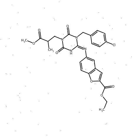 CCOC(=O)c1cc2cc(/N=c3\[nH]c(=O)n(CC(C)C(=O)OC)c(=O)n3Cc3ccc(Cl)cc3)ccc2o1